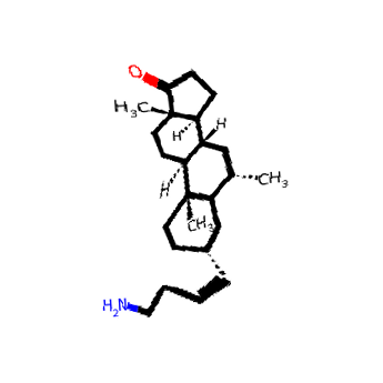 C[C@H]1C[C@@H]2[C@H](CC[C@]3(C)C(=O)CC[C@@H]23)[C@@]2(C)CC[C@@H](/C=C\CCN)CC12